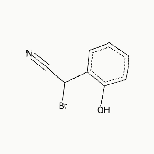 N#CC(Br)c1ccccc1O